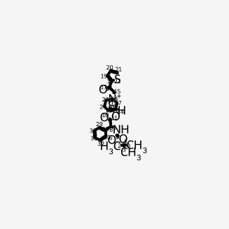 CC(C)(C)OC(=O)NC(C(=O)O[C@H]1C[N+]2(CC(=O)c3cccs3)CCC1CC2)c1ccccc1